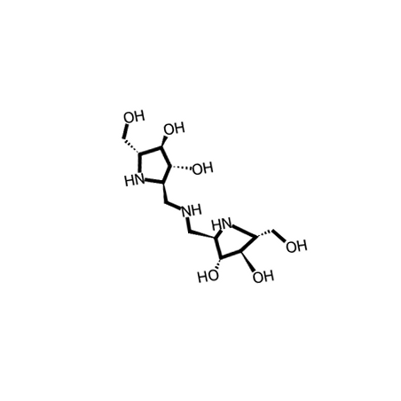 OC[C@H]1N[C@H](CNC[C@H]2N[C@H](CO)[C@@H](O)[C@@H]2O)[C@@H](O)[C@@H]1O